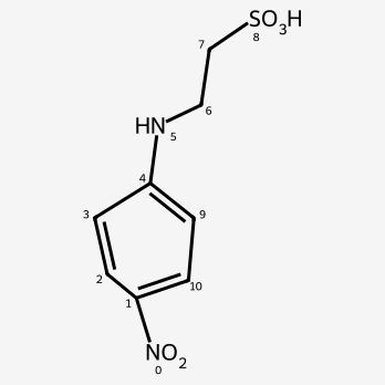 O=[N+]([O-])c1ccc(NCCS(=O)(=O)O)cc1